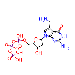 NCc1cn([C@H]2CC(O)[C@@H](COP(=O)(O)OP(=O)(O)OP(=O)(O)O)O2)c2nc(N)[nH]c(=O)c12